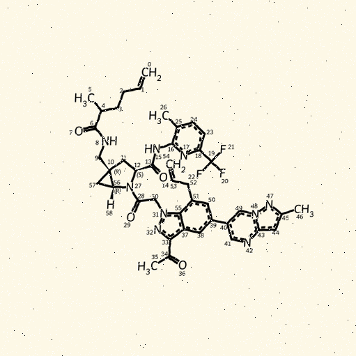 C=CCCC(C)C(=O)NC[C@@]12C[C@@H](C(=O)Nc3nc(C(F)(F)F)ccc3C)N(C(=O)Cn3nc(C(C)=O)c4cc(-c5cnc6cc(C)nn6c5)cc(CC=C)c43)[C@@H]1C2